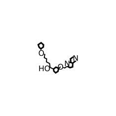 OC(CCCCCOc1ccccc1)c1cccc(OCc2ccc3cnccc3n2)c1